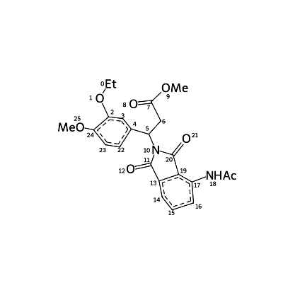 CCOc1cc(C(CC(=O)OC)N2C(=O)c3cccc(NC(C)=O)c3C2=O)ccc1OC